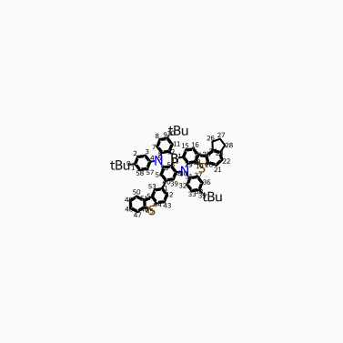 CC(C)(C)c1ccc(N2c3ccc(C(C)(C)C)cc3B3c4ccc5c(sc6ccc7c(c65)CCC7)c4N(c4ccc(C(C)(C)C)cc4)c4cc(-c5ccc6sc7ccccc7c6c5)cc2c43)cc1